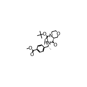 COC(=O)c1ccc([C@@H](C)NC(=O)[C@@H]2COCCN2C(=O)OC(C)(C)C)cc1